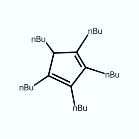 CCCC[C]1C(CCCC)=C(CCCC)C(CCCC)=C1CCCC